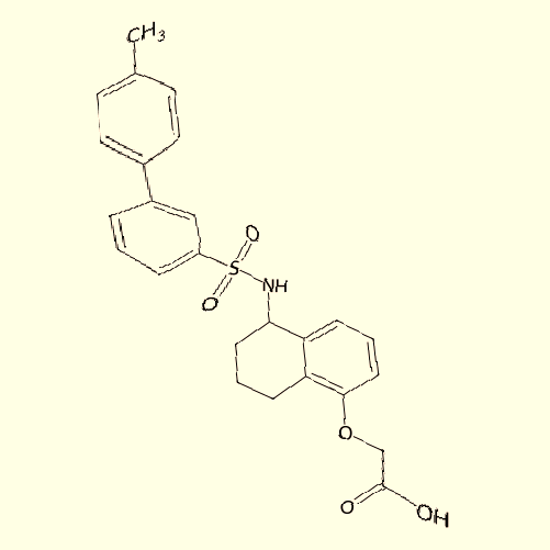 Cc1ccc(-c2cccc(S(=O)(=O)NC3CCCc4c(OCC(=O)O)cccc43)c2)cc1